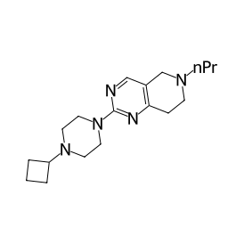 CCCN1CCc2nc(N3CCN(C4CCC4)CC3)ncc2C1